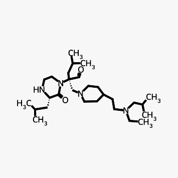 CCN(CCC1CCN(C[C@@](C=O)(CC(C)C)N2CCN[C@@H](CC(C)C)C2=O)CC1)CC(C)C